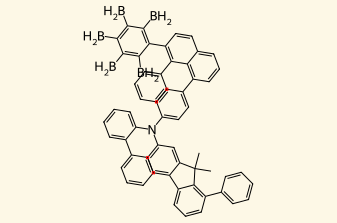 Bc1c(B)c(B)c(-c2ccc3cccc(-c4ccc(N(c5ccc6c(c5)C(C)(C)c5c(-c7ccccc7)cccc5-6)c5ccccc5-c5ccccc5)cc4)c3c2-c2ccccc2)c(B)c1B